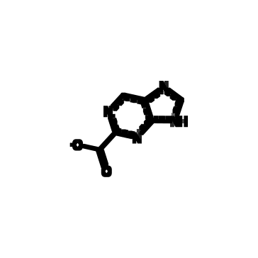 [O]C(=O)c1ncc2nc[nH]c2n1